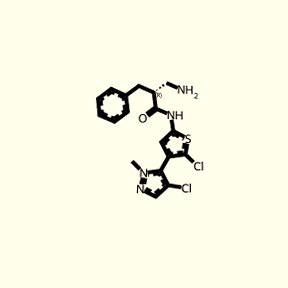 Cn1ncc(Cl)c1-c1cc(NC(=O)[C@@H](CN)Cc2ccccc2)sc1Cl